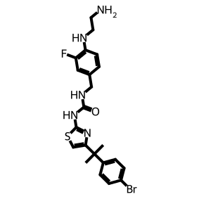 CC(C)(c1ccc(Br)cc1)c1csc(NC(=O)NCc2ccc(NCCN)c(F)c2)n1